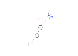 CC(C)(c1ccc(OC[C@H](O)Cn2cc(CF)nn2)cc1)c1ccc(OC[C@@H](O)CCl)c(F)c1